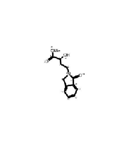 COC(=O)[C@@H](O)CCN1Cc2ccccc2C1=O